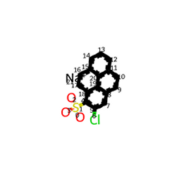 O=S(=O)([O-])c1c(Cl)cc2ccc3cccc4ccc1c2c34.[Na+]